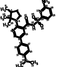 CC1CCN(c2ncc(-c3ccc(N(C)C)cc3)cc2C(=O)NS(=O)(=O)c2cccc(N)n2)C1(C)C